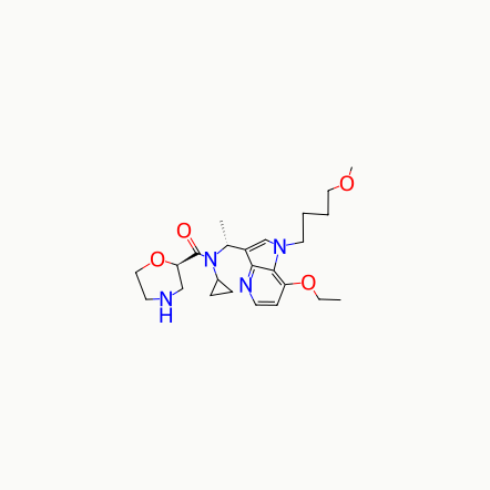 CCOc1ccnc2c([C@@H](C)N(C(=O)[C@H]3CNCCO3)C3CC3)cn(CCCCOC)c12